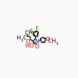 COc1ccc(N2C(=O)C(O)=C(C(=O)CC(C)C)C2c2ccc(F)c(F)c2)cc1